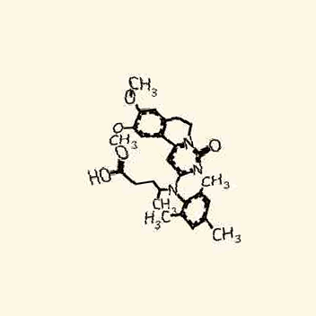 COc1cc2c(cc1OC)-c1cc(N(c3c(C)cc(C)cc3C)C(C)CCC(=O)O)nc(=O)n1CC2